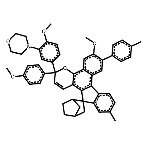 COc1ccc(C2(c3ccc(OC)c(N4CCOCC4)c3)C=Cc3c4c(c5cc(-c6ccc(C)cc6)c(OC)cc5c3O2)-c2ccc(C)cc2C42CC3CCC2C3)cc1